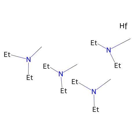 CCN(C)CC.CCN(C)CC.CCN(C)CC.CCN(C)CC.[Hf]